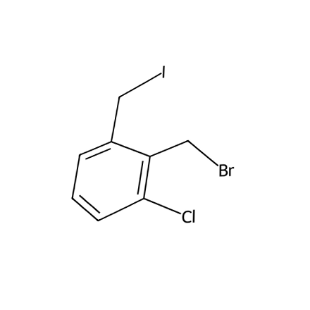 Clc1cccc(CI)c1CBr